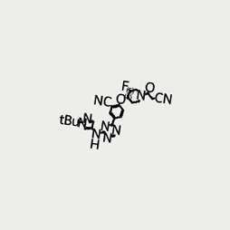 CC(C)(C)n1cc(Nc2ncnc(-c3ccc(O[C@H]4CCN(C(=O)CC#N)C[C@@H]4F)c(C#N)c3)n2)cn1